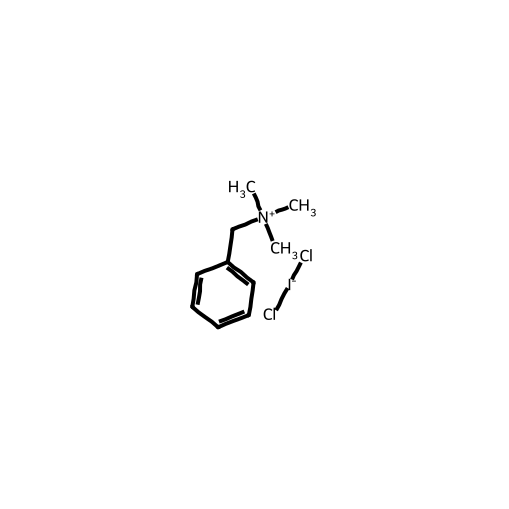 C[N+](C)(C)Cc1ccccc1.Cl[I-]Cl